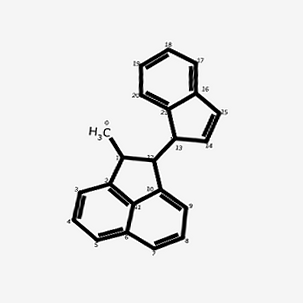 CC1c2cccc3cccc(c23)C1[C]1C=Cc2ccccc21